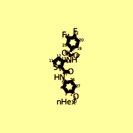 CCCCCCOc1ccc(NC(=O)c2sccc2NS(=O)(=O)c2ccc(F)c(F)c2)cc1